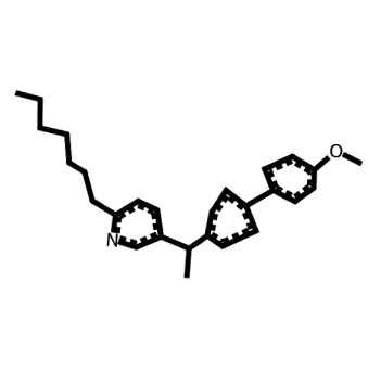 CCCCCCCc1ccc(C(C)c2ccc(-c3ccc(OC)cc3)cc2)cn1